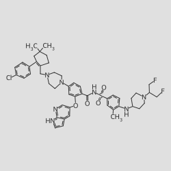 Cc1cc(S(=O)(=O)NC(=O)c2ccc(N3CCN(CC4=C(c5ccc(Cl)cc5)CC(C)(C)CC4)CC3)cc2Oc2cnc3[nH]ccc3c2)ccc1NC1CCN(C(CF)CF)CC1